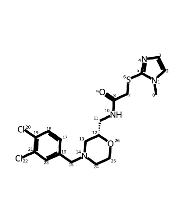 Cn1ccnc1SCC(=O)NC[C@H]1CN(Cc2ccc(Cl)c(Cl)c2)CCO1